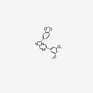 COc1cc(OC)cc(-c2cn3c(-c4ccc5c(c4)OCO5)cnc3cn2)c1